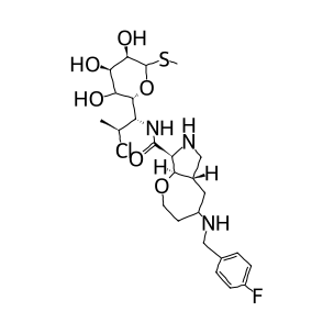 CSC1O[C@H]([C@H](NC(=O)[C@H]2NC[C@@H]3CC(NCc4ccc(F)cc4)CCO[C@H]32)[C@H](C)Cl)C(O)[C@@H](O)[C@H]1O